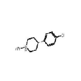 CCC[Si@H]1CC[C@H](c2ccc(Cl)cc2)CC1